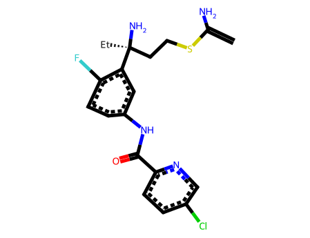 C=C(N)SCC[C@@](N)(CC)c1cc(NC(=O)c2ccc(Cl)cn2)ccc1F